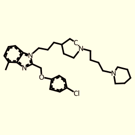 Cc1cccc2c1nc(COc1ccc(Cl)cc1)n2CCCC1CCN(CCCCN2CCCCC2)CC1